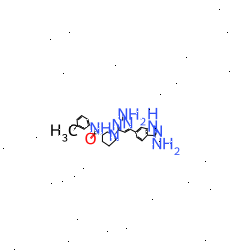 Cc1cccc(NC(=O)[C@H]2CCCN(c3cc(-c4ccc5c(N)n[nH]c5c4)nc(N)n3)C2)c1